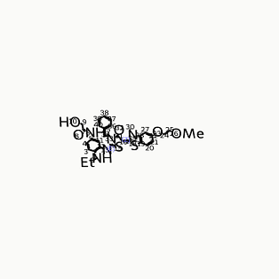 CCNc1ccc(NC(=O)CO)cc1/N=C1/S/C(=C2\Sc3ccc(OCCOC)cc3N2C)C(=O)N1Cc1ccccc1